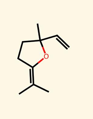 C=CC1(C)CCC(=C(C)C)O1